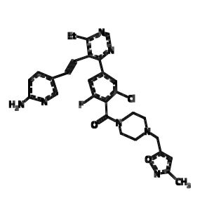 CCc1ncnc(-c2cc(F)c(C(=O)N3CCN(Cc4cc(C)no4)CC3)c(Cl)c2)c1C#Cc1ccc(N)nc1